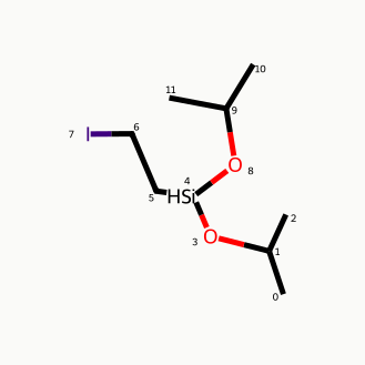 CC(C)O[SiH](CCI)OC(C)C